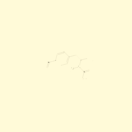 CCCCCCCCC(=O)c1ccc(CC(C(=O)O)N(N)C(=O)CCCCCCCC)cc1